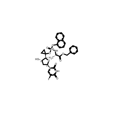 C[C@H](N[P@@](=O)(Oc1cccc2ccccc12)OC1([C@H]2O[C@@H](n3cc(F)c(=O)[nH]c3=O)C[C@@H]2O)CC1)C(=O)OCc1ccccc1